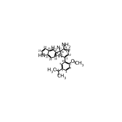 COc1ccc(C(C)C)cc1C1=CN=C(N)C(N)(c2ccc3[nH]ccc3c2)N1